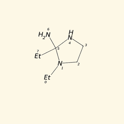 CCN1CCNC1(N)CC